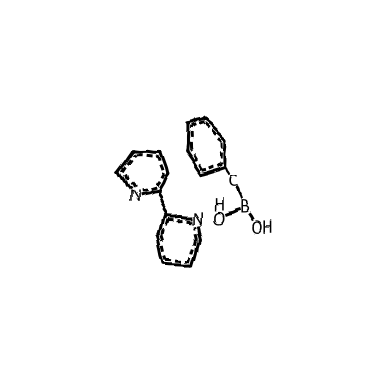 OB(O)Cc1ccccc1.c1ccc(-c2ccccn2)nc1